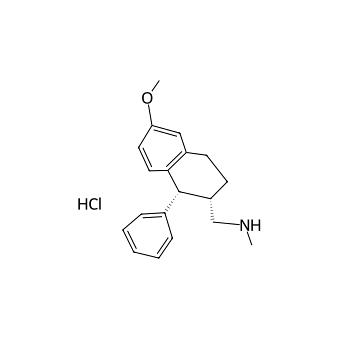 CNC[C@H]1CCc2cc(OC)ccc2[C@H]1c1ccccc1.Cl